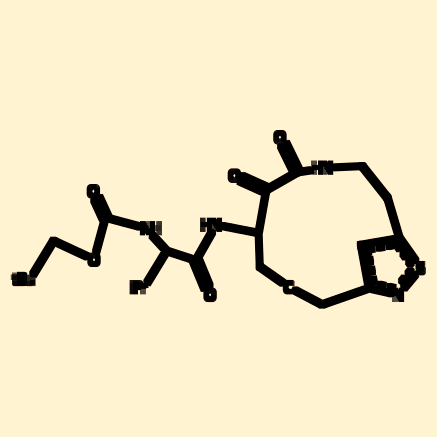 CC(C)C(NC(=O)OCC(C)(C)C)C(=O)NC1CCCc2cc(sn2)CCNC(=O)C1=O